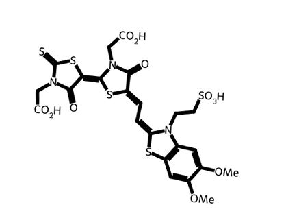 COc1cc2c(cc1OC)N(CCS(=O)(=O)O)C(=CC=c1s/c(=C3/SC(=S)N(CC(=O)O)C3=O)n(CC(=O)O)c1=O)S2